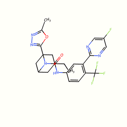 CCC1CC2CC(c3nnc(C)o3)(C1)N2C(=O)Nc1ccc(C(F)(F)F)c(-c2ncc(F)cn2)c1